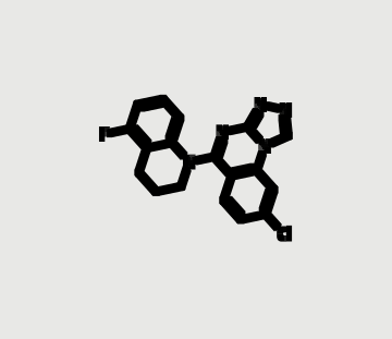 Fc1cccc2c1CCCN2c1nc2nncn2c2cc(Cl)ccc12